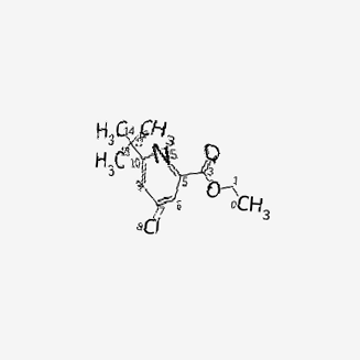 CCOC(=O)c1cc(Cl)cc(C(C)(C)C)n1